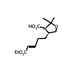 CCOC(=O)/C=C/CC[C@@H]1COC(C)(C)N1C(=O)O